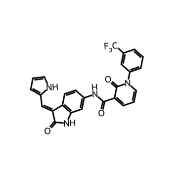 O=C1Nc2cc(NC(=O)c3cccn(-c4cccc(C(F)(F)F)c4)c3=O)ccc2C1=Cc1ccc[nH]1